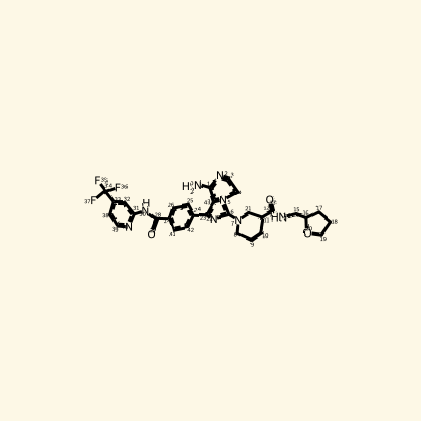 Nc1nccn2c(N3CCCC(C(=O)NCC4CCCO4)C3)nc(-c3ccc(C(=O)Nc4cc(C(F)(F)F)ccn4)cc3)c12